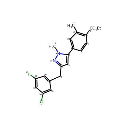 CCOC(=O)c1ccc(-c2cc(Cc3cc(F)cc(Cl)c3)nn2C)cc1C